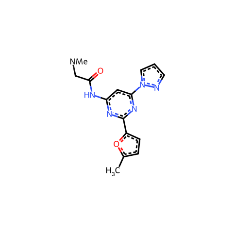 CNCC(=O)Nc1cc(-n2cccn2)nc(-c2ccc(C)o2)n1